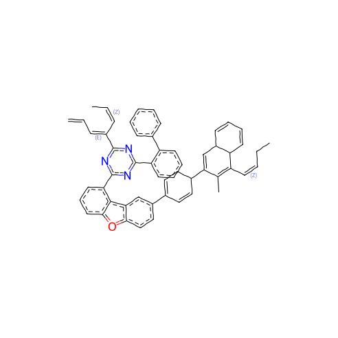 C=C/C=C(\C=C/C)c1nc(-c2ccccc2-c2ccccc2)nc(-c2cccc3oc4ccc(C5=CCC(C6=CC7C=CC=CC7C(/C=C\CC)=C6C)C=C5)cc4c23)n1